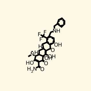 CN(C)[C@@H]1C(O)=C(C(N)=O)C(=O)[C@@]2(O)C(O)=C3C(=O)c4c(O)cc(CNCc5ccccc5)c(C(F)(F)F)c4C[C@H]3C[C@@H]12